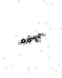 CC(C)(C)OC(=O)N[C@@](C)(CO)CCCc1ccc(Sc2cccc(Cl)c2)cc1Cl